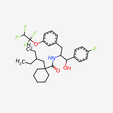 CCC(CC)CC1(C(=O)NC(Cc2cccc(OC(F)(F)C(F)F)c2)C(O)c2ccc(F)cc2)CCCCC1